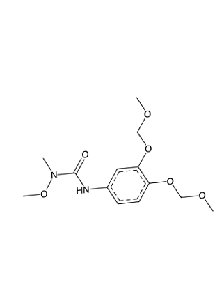 COCOc1ccc(NC(=O)N(C)OC)cc1OCOC